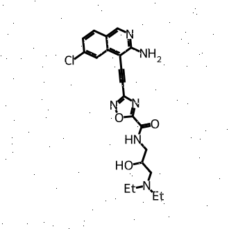 CCN(CC)CC(O)CNC(=O)c1nc(C#Cc2c(N)ncc3ccc(Cl)cc23)no1